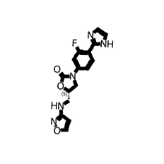 O=C1O[C@@H](CNc2ccon2)CN1c1ccc(-c2ncc[nH]2)c(F)c1